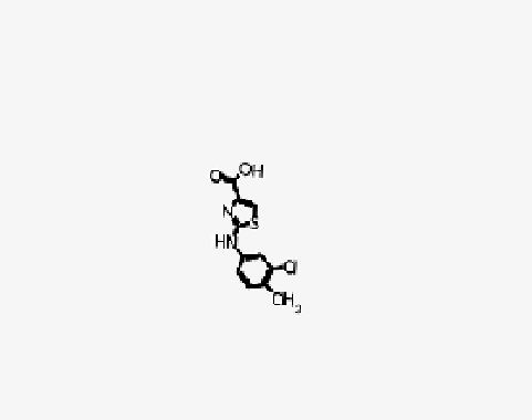 Cc1ccc(Nc2nc(C(=O)O)cs2)cc1Cl